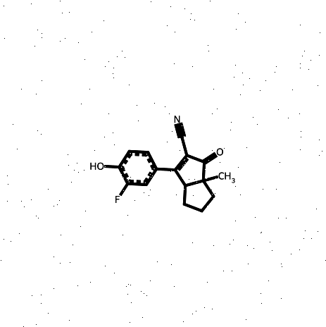 CC12CCCC1C(c1ccc(O)c(F)c1)=C(C#N)C2=O